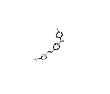 Cc1ccc(Nc2ccc(C=C[C@H]3COC(N)=N3)cc2)cc1